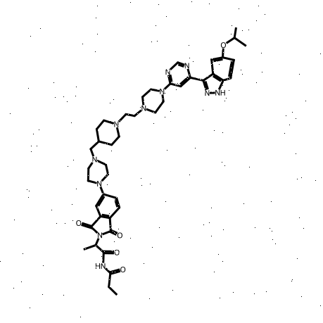 CCC(=O)NC(=O)C(C)N1C(=O)c2ccc(N3CCN(CC4CCN(CCN5CCN(c6cc(-c7n[nH]c8ccc(OC(C)C)cc78)ncn6)CC5)CC4)CC3)cc2C1=O